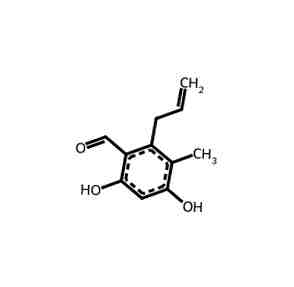 C=CCc1c(C)c(O)cc(O)c1C=O